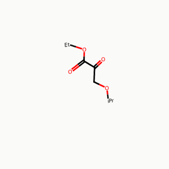 CCOC(=O)C(=O)COC(C)C